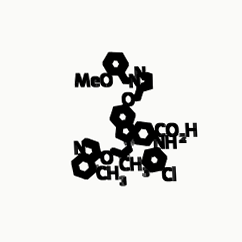 COc1ccccc1Cn1nccc1COc1ccc2c(c1)C1(CCC(Nc3cccc(Cl)c3)(C(=O)O)CC1)[C@@H](C[C@@H](C)COc1ccnc3c1[C@H](C)CCC3)C2